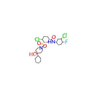 O=C(NC1CCC(F)C(Cl)C1)C1CCC(Cl)C(S(=O)(=O)N2CCC(O)(C3CCCCC3)CC2)C1